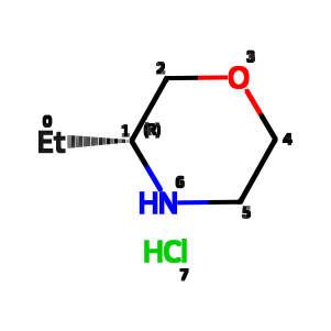 CC[C@@H]1COCCN1.Cl